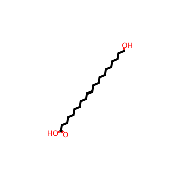 O=C(O)CCCCCCCC/C=C/CCCCCCCCCCO